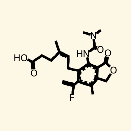 C=C(F)c1c(C)c2c(c(NC(=O)N(C)C)c1CC=C(C)CCC(=O)O)C(=O)OC2